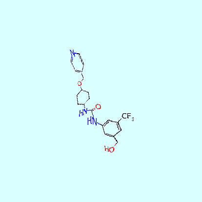 O=C(Nc1cc(CO)cc(C(F)(F)F)c1)NC1CCC(OCc2ccncc2)CC1